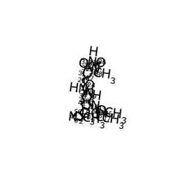 Cc1ccncc1-c1cc(NC(=O)OC(C)(C)C)c2cnc(NC(=O)C=C3CCC4(CC3)C(=O)NC(=O)N4C)cc2c1